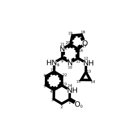 O=C1CCc2ccc(Nc3nc(NC4CC4)c4occc4n3)cc2N1